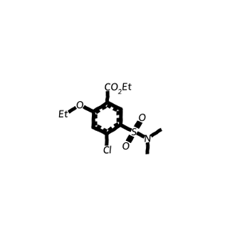 CCOC(=O)c1cc(S(=O)(=O)N(C)C)c(Cl)cc1OCC